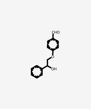 O=Cc1ccc(OCC(O)c2ccccc2)cc1